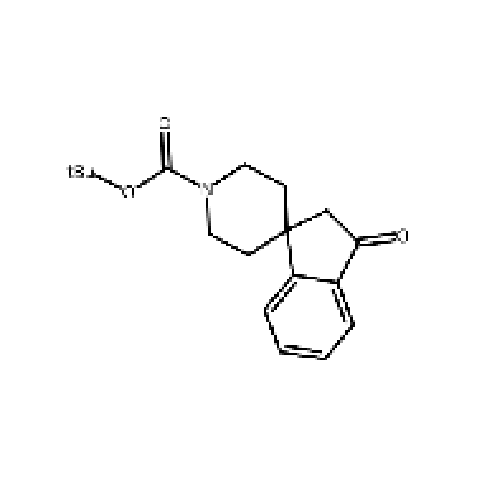 CC(C)(C)OC(=O)N1CCC2(CC1)CC(=O)c1ccccc12